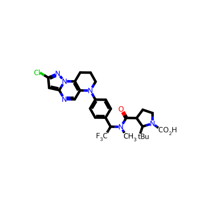 CN(C(=O)C1CCN(C(=O)O)C1C(C)(C)C)C(c1ccc(N2CCCc3c2cnc2cc(Cl)nn32)cc1)C(F)(F)F